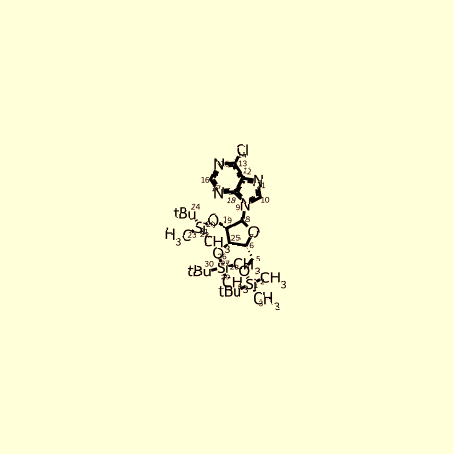 CC(C)(C)[Si](C)(C)OC[C@H]1OC(n2cnc3c(Cl)ncnc32)[C@H](O[Si](C)(C)C(C)(C)C)[C@@H]1O[Si](C)(C)C(C)(C)C